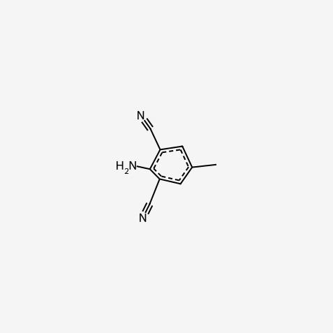 Cc1cc(C#N)c(N)c(C#N)c1